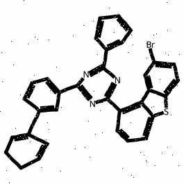 Brc1ccc2sc3cccc(-c4nc(-c5ccccc5)nc(-c5cccc(C6=CCCC=C6)c5)n4)c3c2c1